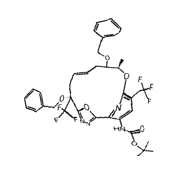 C[C@H]1Oc2nc(c(NC(=O)OC(C)(C)C)cc2C(F)(F)F)-c2nnc(o2)[C@@](OCc2ccccc2)(C(F)(F)F)C/C=C/CC1OCc1ccccc1